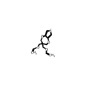 C=COCC1(COC=C)COc2cscc2OC1